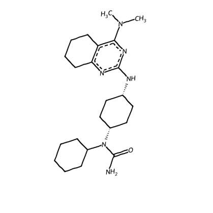 CN(C)c1nc(N[C@H]2CC[C@@H](N(C(N)=O)C3CCCCC3)CC2)nc2c1CCCC2